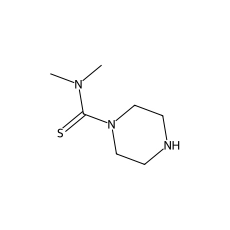 CN(C)C(=S)N1CCNCC1